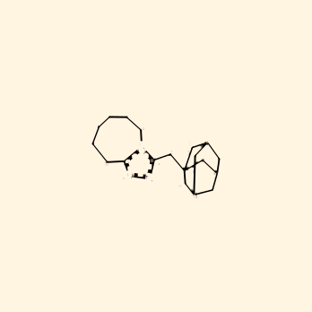 C1CCCn2c(nnc2CC23CC4CC(CC(C4)C2)C3)CC1